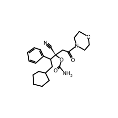 N#C[C@@](CC(=O)N1CCOCC1)(OC(N)=O)C(CC1CCCCC1)c1ccccc1